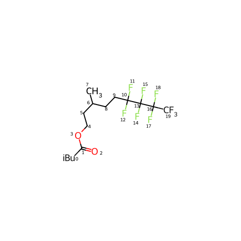 CCC(C)C(=O)OCCC(C)CCC(F)(F)C(F)(F)C(F)(F)C(F)(F)F